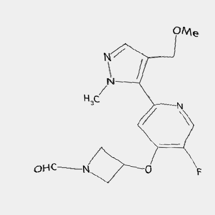 COCc1cnn(C)c1-c1cc(OC2CN(C=O)C2)c(F)cn1